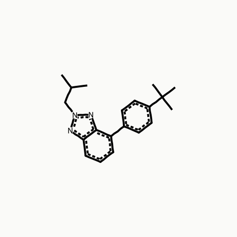 CC(C)Cn1nc2cccc(-c3ccc(C(C)(C)C)cc3)c2n1